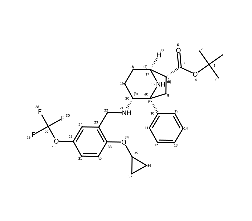 CC(C)(C)OC(=O)[C@@H]1C[C@]2(c3ccccc3)N[C@H]1CC[C@H]2NCc1cc(OC(F)(F)F)ccc1OC1CC1